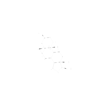 C[C@]12CCC3C(C[C@H]4C[C@]45C[C@@H](O)CC[C@]35C)C1CC[C@@H]2O